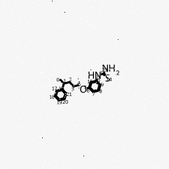 CC(CCCOc1cccc(NC(N)=S)c1)c1ccccc1